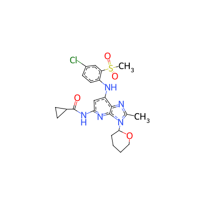 Cc1nc2c(Nc3ccc(Cl)cc3S(C)(=O)=O)cc(NC(=O)C3CC3)nc2n1C1CCCCO1